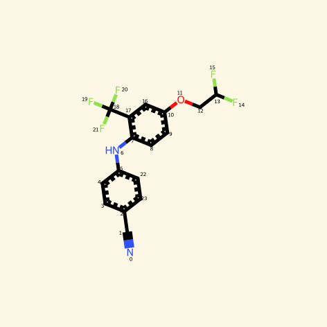 N#Cc1ccc(Nc2ccc(OCC(F)F)cc2C(F)(F)F)cc1